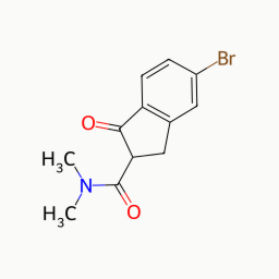 CN(C)C(=O)C1Cc2cc(Br)ccc2C1=O